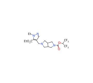 CCOC(=O)c1c(CN2CC3CN(C(=O)OC(C(F)(F)F)C(F)(F)F)CC3C2)cnn1CC